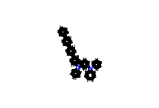 C1=CCC=CC(N(c2ccccc2)c2ccc3c4cc(-c5ccc(-c6ccc(-c7ccccc7)cc6)cc5)ccc4n(-c4ccccc4)c3c2)=C1